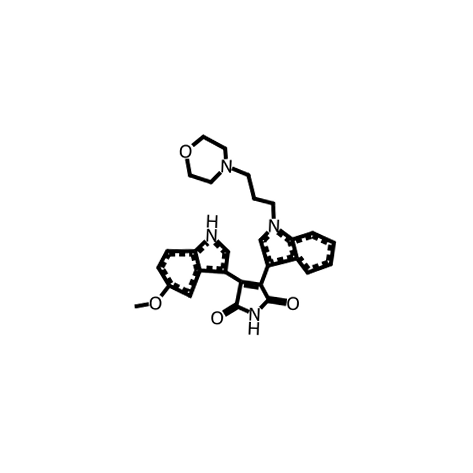 COc1ccc2[nH]cc(C3=C(c4cn(CCCN5CCOCC5)c5ccccc45)C(=O)NC3=O)c2c1